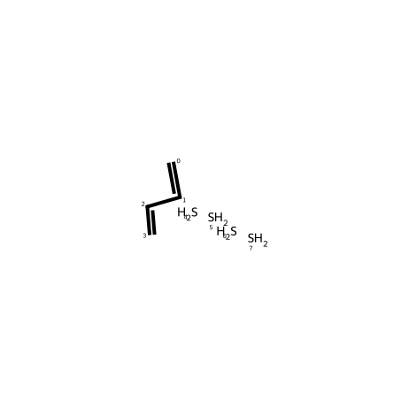 C=CC=C.S.S.S.S